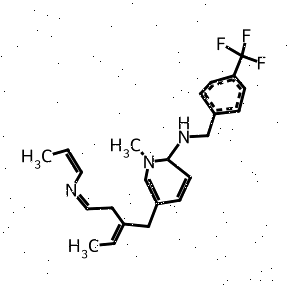 C/C=C\N=C/C/C(=C\C)CC1=CN(C)C(NCc2ccc(C(F)(F)F)cc2)C=C1